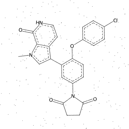 Cn1cc(-c2cc(N3C(=O)CCC3=O)ccc2Oc2ccc(Cl)cc2)c2cc[nH]c(=O)c21